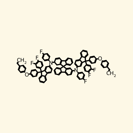 C=Cc1ccc(Oc2ccc(C3(c4ccc(F)c(F)c4)c4ccccc4-c4ccc(N(c5ccc(F)cc5)c5ccc6c(c5)C5(C7=C(C=CC(N(c8ccc(F)cc8)c8ccc9c(c8)C(c8ccc(Oc%10ccc(C=C)cc%10)cc8)(c8ccc(F)c(F)c8)c8ccccc8-9)C7)c7ccccc75)c5ccccc5-6)cc43)cc2)cc1